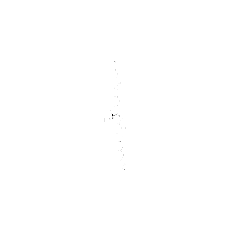 CCCCCCCCCCCCN(CCCCCCCCCCCC)C(N)=S